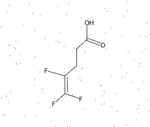 O=C(O)CCC(F)=C(F)F